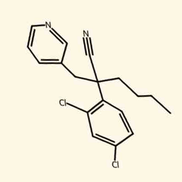 CCCCC(C#N)(Cc1cccnc1)c1ccc(Cl)cc1Cl